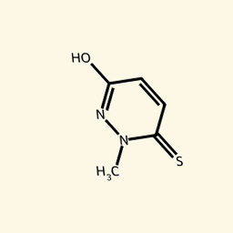 Cn1nc(O)ccc1=S